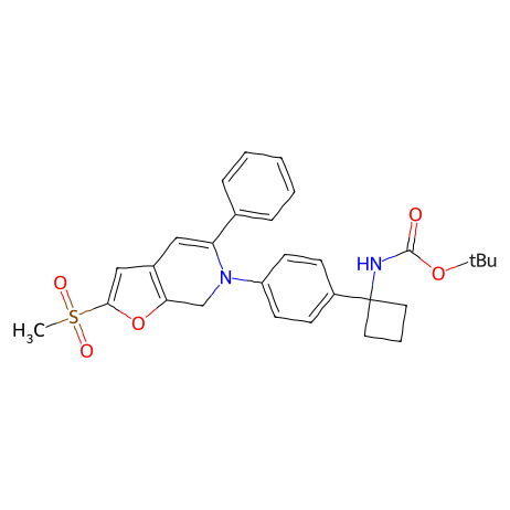 CC(C)(C)OC(=O)NC1(c2ccc(N3Cc4oc(S(C)(=O)=O)cc4C=C3c3ccccc3)cc2)CCC1